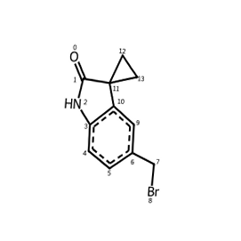 O=C1Nc2ccc(CBr)cc2C12CC2